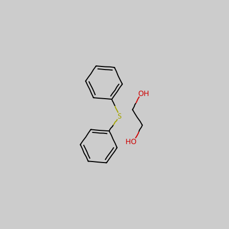 OCCO.c1ccc(Sc2ccccc2)cc1